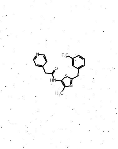 Cc1nc(Cc2cccc(C(F)(F)F)c2)sc1NC(=O)Cc1ccncc1